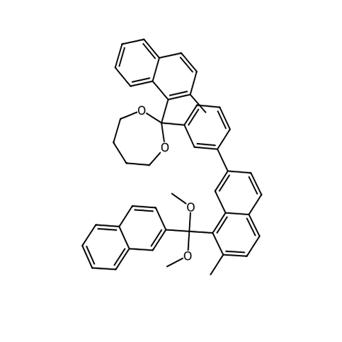 COC(OC)(c1ccc2ccccc2c1)c1c(C)ccc2ccc(-c3cccc(C4(c5c(C)ccc6ccccc56)OCCCCO4)c3)cc12